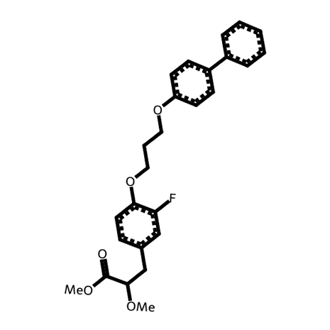 COC(=O)C(Cc1ccc(OCCCOc2ccc(-c3ccccc3)cc2)c(F)c1)OC